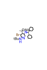 COC(C)c1c(N=C(c2ccccc2)c2ccccc2)cnc(NC(C)(C)C)c1Br